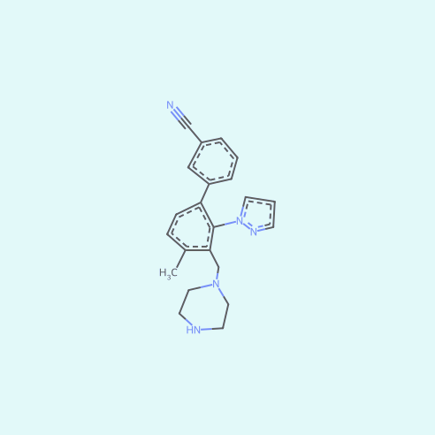 Cc1ccc(-c2cccc(C#N)c2)c(-n2cccn2)c1CN1CCNCC1